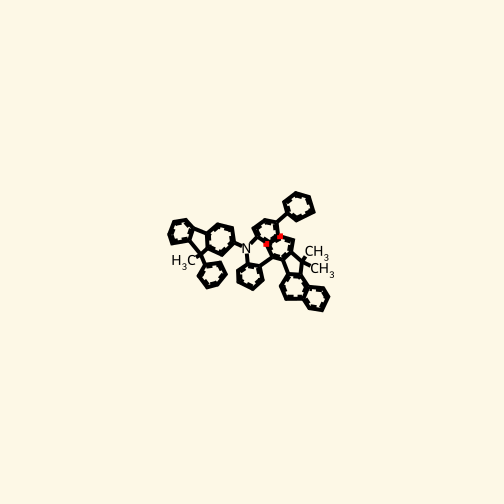 CC1(C)c2cccc(-c3ccccc3N(c3ccc(-c4ccccc4)cc3)c3ccc4c(c3)C(C)(c3ccccc3)c3ccccc3-4)c2-c2ccc3ccccc3c21